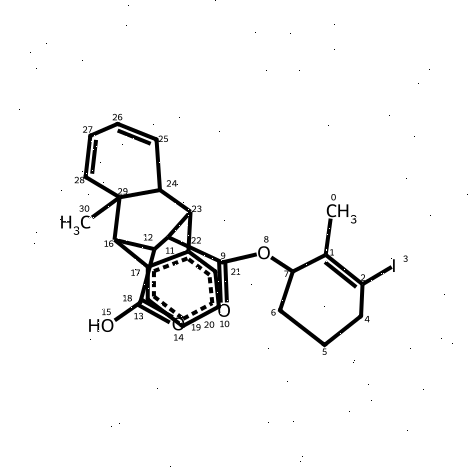 CC1=C(I)CCCC1OC(=O)C1C(C(=O)O)C2c3ccccc3C1C1C=CC=CC12C